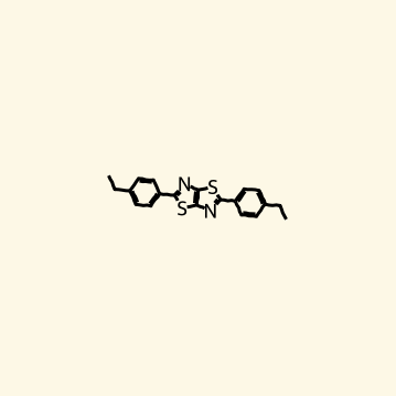 CCc1ccc(-c2nc3sc(-c4ccc(CC)cc4)nc3s2)cc1